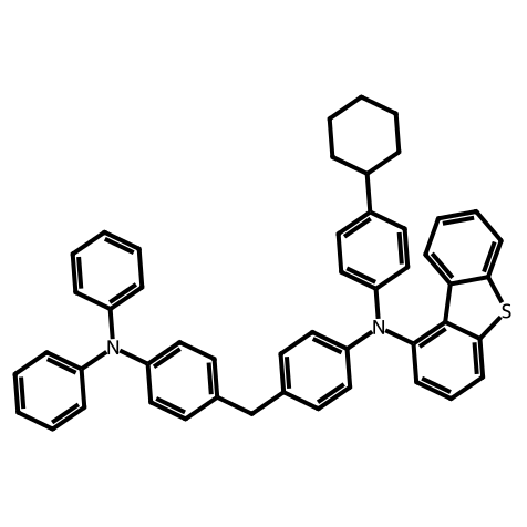 c1ccc(N(c2ccccc2)c2ccc(Cc3ccc(N(c4ccc(C5CCCCC5)cc4)c4cccc5sc6ccccc6c45)cc3)cc2)cc1